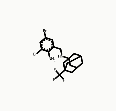 Nc1c(Br)cc(Br)cc1CNC12CC3CC(C1)CC(C(F)(F)F)(C3)C2